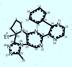 CC[C@@]12CCCN1c1nc(-c3nccnc3-c3ccccc3)ncc1-n1c(C)nnc12